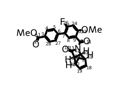 COC(=O)c1ccc(-c2cc(C(=O)N3C(=O)[C@@H]4[C@H]3[C@H]3C=C[C@@H]4C3)c(OC)cc2F)cc1